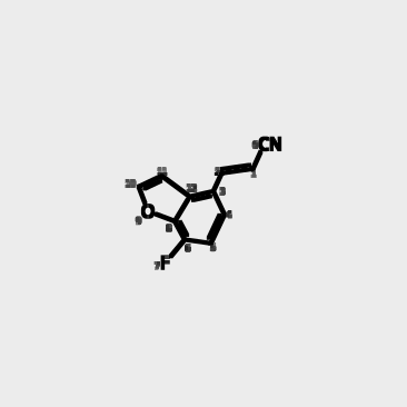 N#CC=Cc1ccc(F)c2occc12